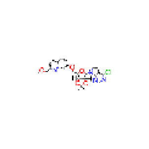 COCc1ccc2ccc(OC[C@H]3O[C@@H](n4ccc5c(Cl)ncnc54)[C@@H]4OC(C)(C)O[C@@H]43)cc2n1